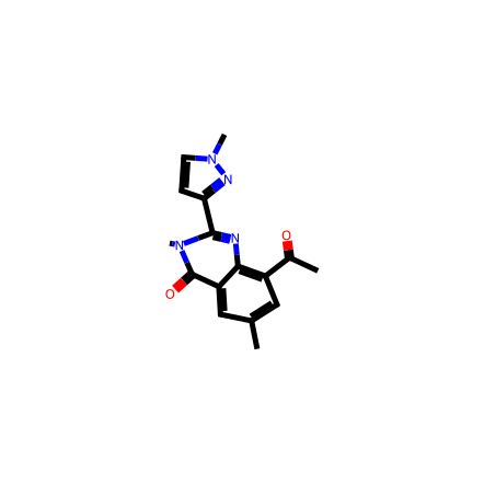 CC(=O)c1cc(C)cc2c(=O)n(C)c(-c3ccn(C)n3)nc12